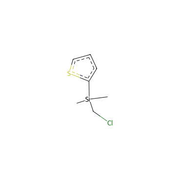 C[Si](C)(CCl)c1cccs1